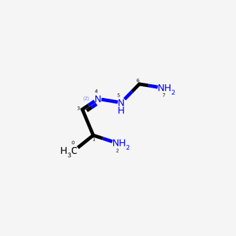 CC(N)/C=N\NCN